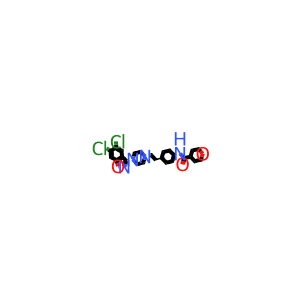 O=C(N[C@H]1CC[C@H](CCN2CCN(c3noc4cc(Cl)c(Cl)cc34)CC2)CC1)C1CCOCC1